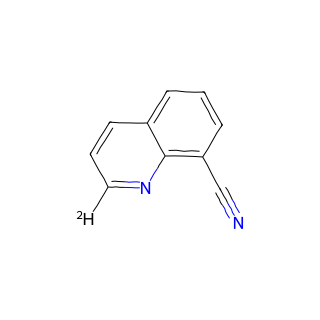 [2H]c1ccc2cccc(C#N)c2n1